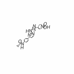 O=C(Nc1ccc(-c2ccnc(Nc3cnc(C4=CCN(C(=O)O)CC4)s3)n2)cc1)C1CC1